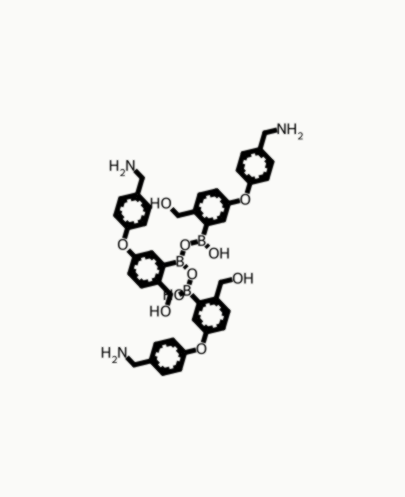 NCc1ccc(Oc2ccc(CO)c(B(O)OB(OB(O)c3cc(Oc4ccc(CN)cc4)ccc3CO)c3cc(Oc4ccc(CN)cc4)ccc3CO)c2)cc1